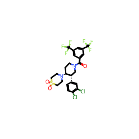 O=C(c1cc(C(F)(F)F)cc(C(F)(F)F)c1)N1CC[C@@H](N2CCS(=O)(=O)CC2)[C@@H](c2ccc(Cl)c(Cl)c2)C1